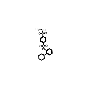 CNS(=O)(=O)c1ccc(S(=O)(=O)Nc2ccccc2N2CCCCC2)cc1